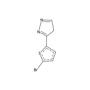 Brc1ccc(C2=NN=CC2)s1